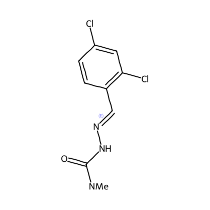 CNC(=O)N/N=C/c1ccc(Cl)cc1Cl